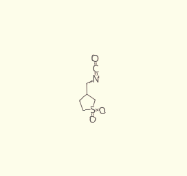 O=C=NCC1CCS(=O)(=O)C1